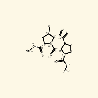 C=C[C@H]1CCN(C(=O)OC(C)(C)C)[C@@H]1C(=O)N1[C@H](C(=O)OC(C)(C)C)C[C@@H](C)[C@@H]1C=C